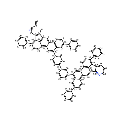 C=C/C=C\C1=C(C)c2cc3c4ccc(-c5ccccc5)cc4c(-c4ccc(-c5cccc(-c6cc7c8ccc(-c9ccccc9)c9c8c(cc7c7ccc(-c8ccccc8)cc67)-c6ncccc6-9)c5)cc4)cc3c3ccc(-c4ccccc4)c1c23